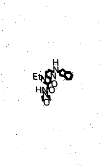 CCn1cc(C(=O)NN2CCOCC2)c(=O)c2nc(NC3Cc4ccccc4C3)ccc21